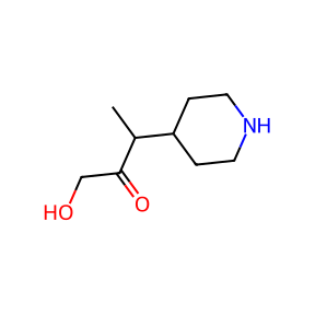 CC(C(=O)CO)C1CCNCC1